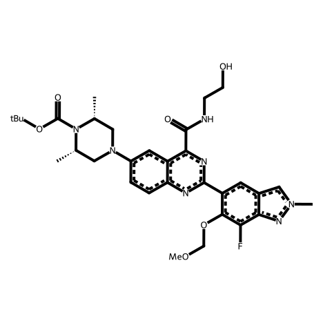 COCOc1c(-c2nc(C(=O)NCCO)c3cc(N4C[C@@H](C)N(C(=O)OC(C)(C)C)[C@@H](C)C4)ccc3n2)cc2cn(C)nc2c1F